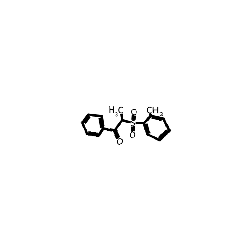 Cc1ccccc1S(=O)(=O)C(C)C(=O)c1ccccc1